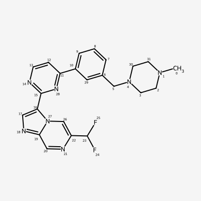 CN1CCN(Cc2cccc(-c3ccnc(-c4cnc5cnc(C(F)F)cn45)n3)c2)CC1